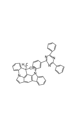 CC1(C)c2ccccc2-n2ccc3cc4c5ccccc5n(-c5cccc(-c6nc(-c7ccccc7)nc(-c7ccccc7)n6)c5)c4c1c32